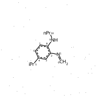 C=Nc1cc(C(C)C)ccc1NCCC